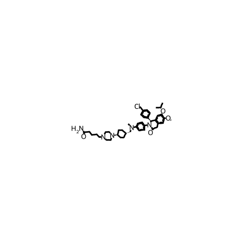 COc1cc2c(cc1OC(C)C)[C@H](c1ccc(Cl)cc1)N(c1ccc(N(C)C[C@H]3CC[C@H](N4CCN(CCCCC(N)=O)CC4)CC3)cc1)C(=O)C2